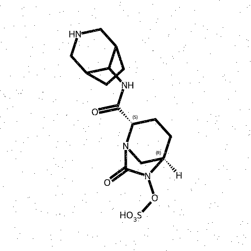 O=C(NC1C2CCC1CNC2)[C@@H]1CC[C@@H]2CN1C(=O)N2OS(=O)(=O)O